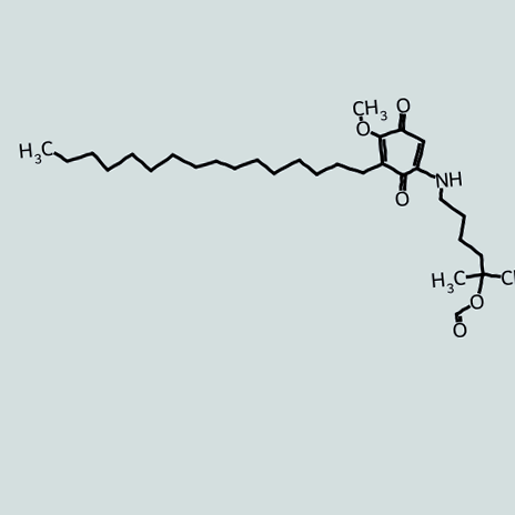 CCCCCCCCCCCCCCCCC1=C(OC)C(=O)C=C(NCCCCC(C)(C)OC=O)C1=O